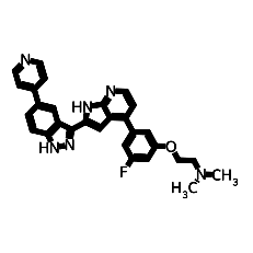 CN(C)CCOc1cc(F)cc(-c2ccnc3[nH]c(-c4n[nH]c5ccc(-c6ccncc6)cc45)cc23)c1